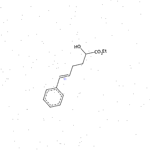 CCOC(=O)C(O)CC/C=C/c1ccccc1